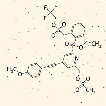 CCOP(=O)(c1cc(C#Cc2ccc(OC)cc2)cc(COS(C)(=O)=O)n1)c1ccccc1CS(=O)(=O)OCC(F)(F)F